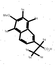 [2H]c1c(OC)c([2H])c2ccc(C([2H])(C(=O)O)C([2H])([2H])[2H])cc2c1[2H]